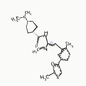 C=N/C(=C\c1cc(-c2cnc(C)o2)ccc1C)NC(=O)[C@H]1CC[C@H](N(C)C)CC1